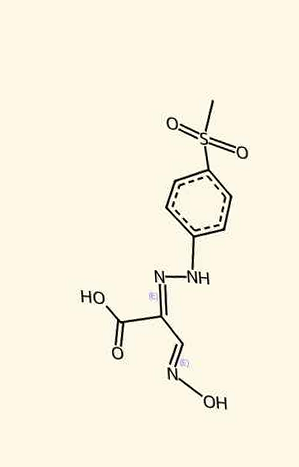 CS(=O)(=O)c1ccc(N/N=C(\C=N\O)C(=O)O)cc1